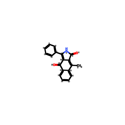 CC1=C2C(=O)NC(c3ccccc3)=C2C(=O)c2ccccc21